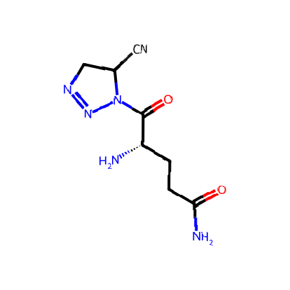 N#CC1CN=NN1C(=O)[C@@H](N)CCC(N)=O